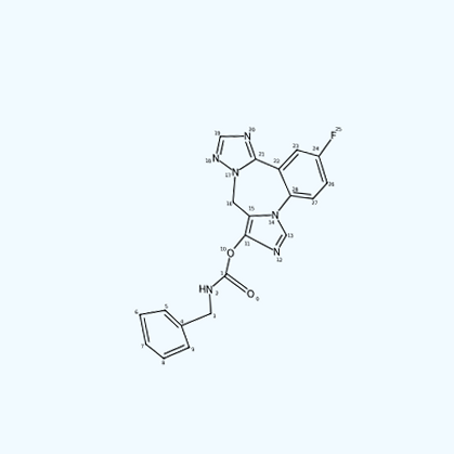 O=C(NCc1ccccc1)Oc1ncn2c1Cn1ncnc1-c1cc(F)ccc1-2